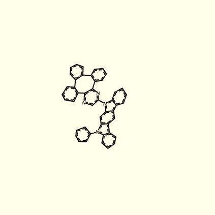 c1ccc(-n2c3ccccc3c3cc4c5ccccc5n(-c5cnc6c(n5)-c5ccccc5-c5ccccc5-c5ccccc5-6)c4cc32)cc1